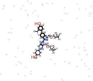 CCc1cc(O)c(F)cc1-c1ccc2c(-c3nc4c(n3COCC[Si](C)(C)C)CN(C3CCC(O)CC3)C4)nn(COCC[Si](C)(C)C)c2c1